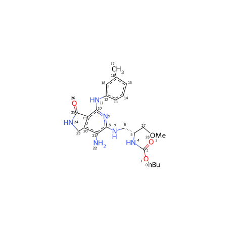 CCCCOC(=O)N[C@H](CNc1nc(Nc2cccc(C)c2)c2c(c1N)CNC2=O)COC